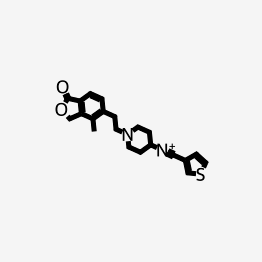 Cc1c(CCN2CCC([N+]#Cc3ccsc3)CC2)ccc2c1COC2=O